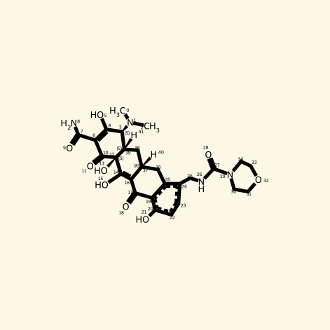 CN(C)[C@@H]1C(O)=C(C(N)=O)C(=O)[C@@]2(O)C(O)=C3C(=O)c4c(O)ccc(CNC(=O)N5CCOCC5)c4C[C@H]3C[C@@H]12